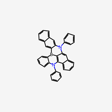 c1ccc(N2c3cc4ccccc4cc3B3c4ccccc4N(c4ccccc4)c4c3c2cc2ccccc42)cc1